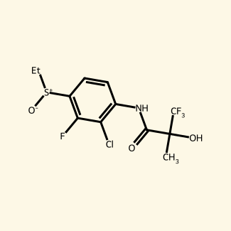 CC[S+]([O-])c1ccc(NC(=O)C(C)(O)C(F)(F)F)c(Cl)c1F